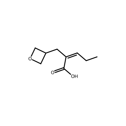 CCC=C(CC1COC1)C(=O)O